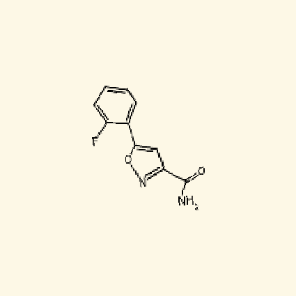 NC(=O)c1cc(-c2ccccc2F)on1